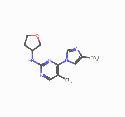 Cc1cnc(NC2CCOC2)nc1-n1cnc(C(=O)O)c1